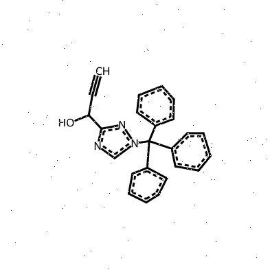 C#CC(O)c1ncn(C(c2ccccc2)(c2ccccc2)c2ccccc2)n1